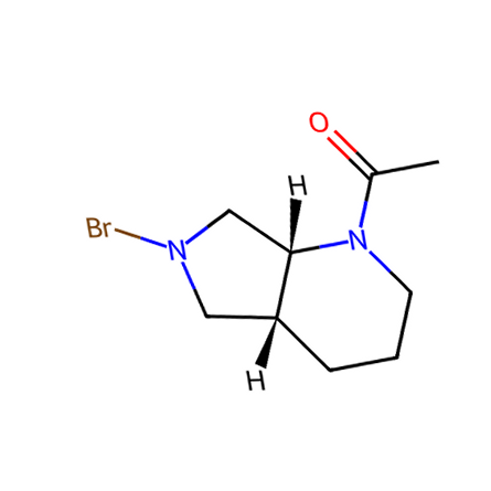 CC(=O)N1CCC[C@@H]2CN(Br)C[C@@H]21